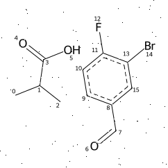 CC(C)C(=O)O.O=Cc1ccc(F)c(Br)c1